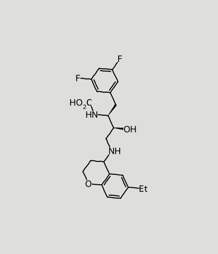 CCc1ccc2c(c1)C(NC[C@H](O)[C@H](Cc1cc(F)cc(F)c1)NC(=O)O)CCO2